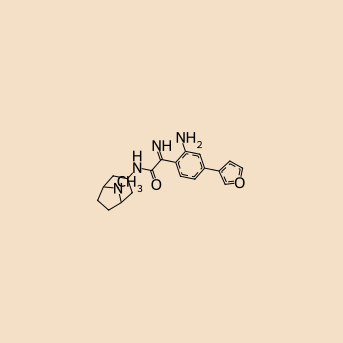 CN1C2CCC1CC(NC(=O)C(=N)c1ccc(-c3ccoc3)cc1N)C2